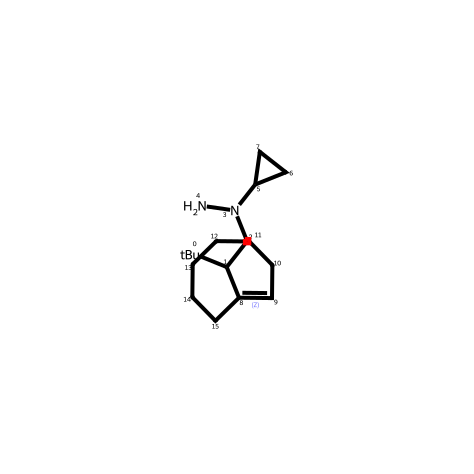 CC(C)(C)C(CN(N)C1CC1)/C1=C\CCCCCC1